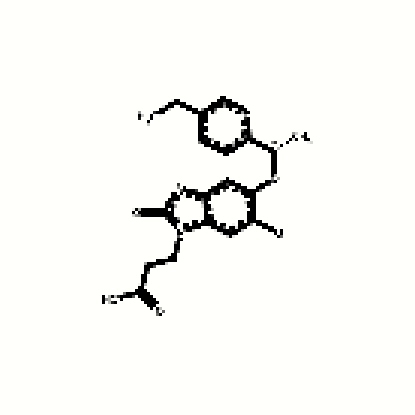 CCc1ccc([C@H](C)Oc2cc3sc(=O)n(CCC(=O)O)c3cc2Cl)nc1